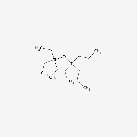 CC[CH2][Ti]([CH2]C)([CH2]CC)[O][Ti]([CH2]C)([CH2]C)[CH2]C